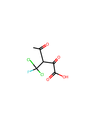 CC(=O)C(C(=O)C(=O)O)C(F)(Cl)Cl